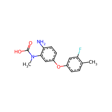 Cc1ccc(Oc2ccc(N)c(N(C)C(=O)O)c2)cc1F